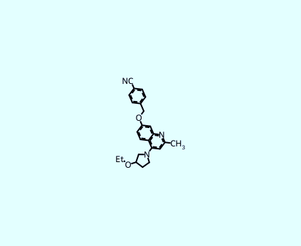 CCOC1CCN(c2cc(C)nc3cc(OCc4ccc(C#N)cc4)ccc23)C1